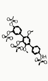 COc1cc(-c2ccc(NS(C)(=O)=O)cc2)c(OC)c(OS(C)(=O)=O)c1-c1ccc(OS(C)(=O)=O)c(OS(C)(=O)=O)c1